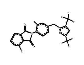 Cc1cc(Cn2nc(C(F)(F)F)cc2C(F)(F)F)ccc1N1C(=O)c2cccc(Cl)c2C1=O